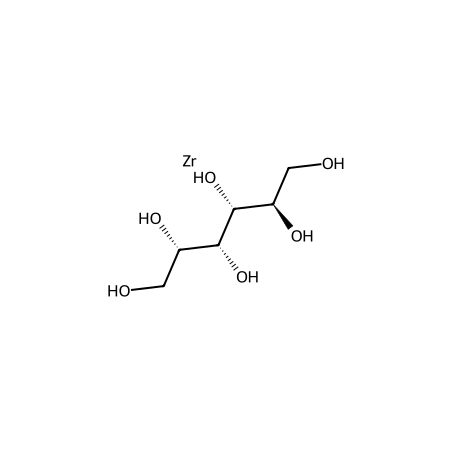 OC[C@@H](O)[C@@H](O)[C@H](O)[C@@H](O)CO.[Zr]